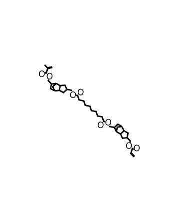 C=CC(=O)OCC1CC2C3CC(COC(=O)CCCCCCCCC(=O)OCC4CC5C6CC(COC(=O)C(=C)C)C(C6)C5C4)C(C3)C2C1